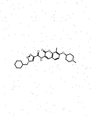 Cc1c(OC2CCN(C)CC2)ccc2cc(NC(=O)c3cn(CC4CCCCC4)nn3)c(=O)oc12